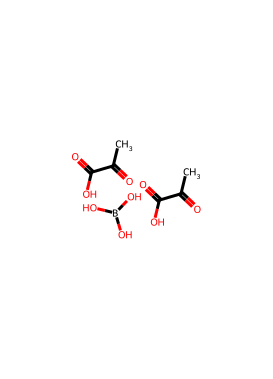 CC(=O)C(=O)O.CC(=O)C(=O)O.OB(O)O